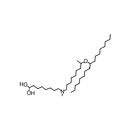 CCCCCCCCC(CCCCCCCC)OC(C)CCCCCCCN(C)CCCCCCCC(O)O